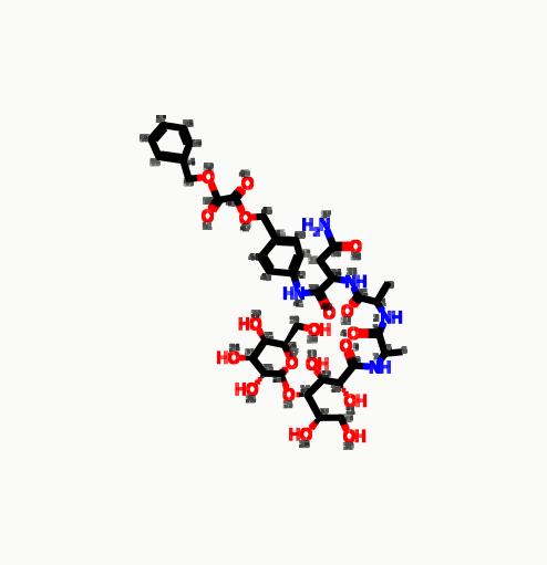 CC(NC(=O)C(C)NC(=O)[C@H](O)[C@H](O)[C@@H](O[C@@H]1O[C@H](CO)[C@H](O)[C@H](O)[C@H]1O)[C@H](O)CO)C(=O)NC(CC(N)=O)C(=O)Nc1ccc(COC(=O)C(=O)OCc2ccccc2)cc1